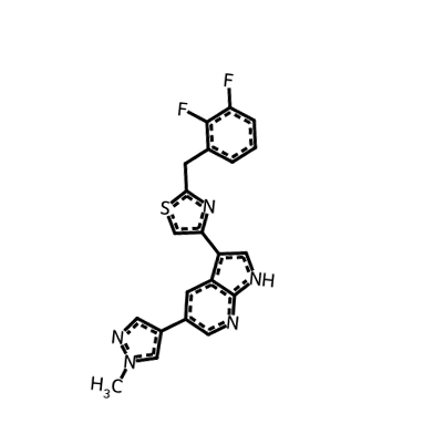 Cn1cc(-c2cnc3[nH]cc(-c4csc(Cc5cccc(F)c5F)n4)c3c2)cn1